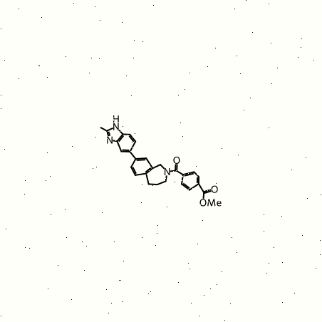 COC(=O)c1ccc(C(=O)N2CCCc3ccc(-c4ccc5[nH]c(C)nc5c4)cc3C2)cc1